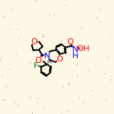 CC1([C@H]2COc3cc(C(=O)NO)ccc3CN2C(=O)C2CCOCC2)C=CC=CC1F